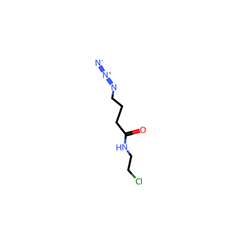 [N-]=[N+]=NCCCC(=O)NCCCl